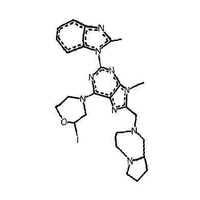 Cc1nc2ccccc2n1-c1nc(N2CCOC(I)C2)c2nc(CN3CCN4CCCC4C3)n(C)c2n1